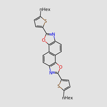 CCCCCCc1ccc(-c2nc3ccc4c(ccc5nc(-c6ccc(CCCCCC)s6)oc54)c3o2)s1